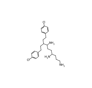 NCCCC(N)CCC(N)C(CCc1ccc(Cl)cc1)CCc1ccc(Cl)cc1